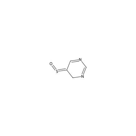 O=S=C1C=NC=NC1